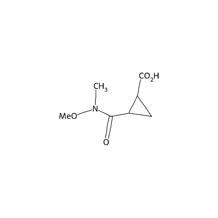 CON(C)C(=O)C1CC1C(=O)O